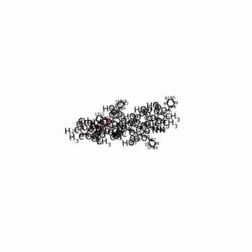 CO[C@H]1OC(COC(=O)c2ccccc2)[C@@H](O[C@@H]2OC(C)[C@@H](O[C@H]3OC(COS(=O)(=O)O)[C@H](O[C@@H]4OC(C)[C@@H](O[C@H]5OC(COS(=O)(=O)O)[C@@H](O[C@@H]6OC(C)[C@@H](O[C@@H]7OC(COS(=O)(=O)O)[C@H](O[C@@H]8OC(C)[C@@H](C)[C@@H](OCc9ccccc9)C8OOO)[C@H](C)C7N=[N+]=[N-])[C@@H](OCc7ccccc7)C6OOO)[C@H](C)C5N=[N+]=[N-])[C@@H](OCc5ccccc5)C4OOO)[C@H](C)C3N=[N+]=[N-])[C@@H](OCc3ccccc3)C2OOO)[C@H](C)C1C